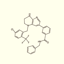 O=C(NCc1ccccc1)c1cccc(-c2cnc3c(c2)N(Cc2cc(Cl)ccc2C(F)(F)F)CCN3)c1